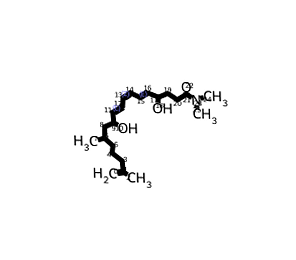 C=C(C)CCCC(C)CC(O)/C=C/C=C\C=C\C(O)CCC(=O)N(C)C